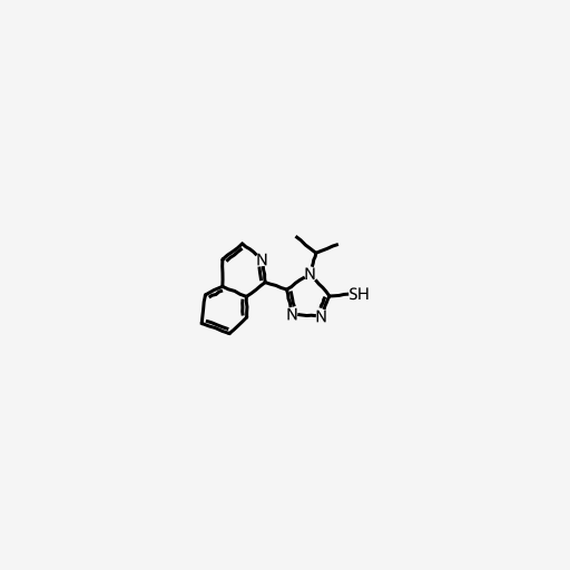 CC(C)n1c(S)nnc1-c1nccc2ccccc12